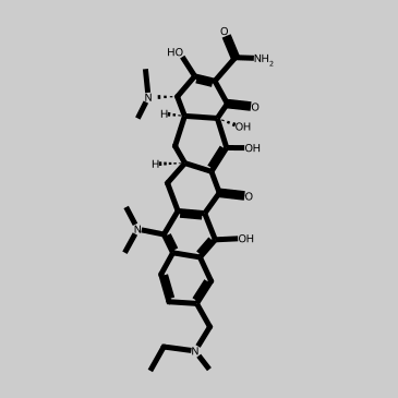 CCN(C)Cc1ccc2c(N(C)C)c3c(c(O)c2c1)C(=O)C1=C(O)[C@]2(O)C(=O)C(C(N)=O)=C(O)[C@@H](N(C)C)[C@@H]2C[C@@H]1C3